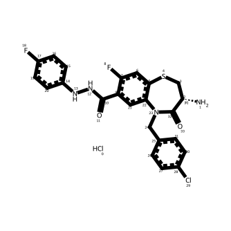 Cl.N[C@H]1CSc2cc(F)c(C(=O)NNc3ccc(F)cc3)cc2N(Cc2ccc(Cl)cc2)C1=O